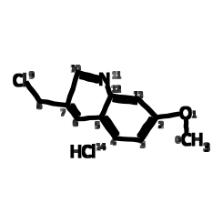 COc1ccc2cc(CCl)cnc2c1.Cl